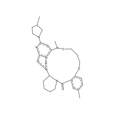 C=C1c2cc(C)ccc2OCCCCN(C)c2cc(N3CCC(C)C3)nc3cc(nn23)C2CCCCN12